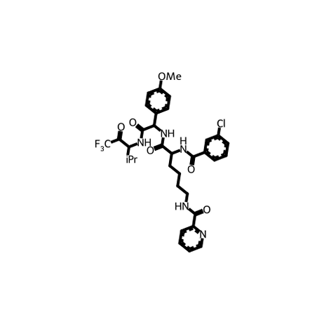 COc1ccc(C(NC(=O)C(CCCCNC(=O)c2ccccn2)NC(=O)c2cccc(Cl)c2)C(=O)NC(C(=O)C(F)(F)F)C(C)C)cc1